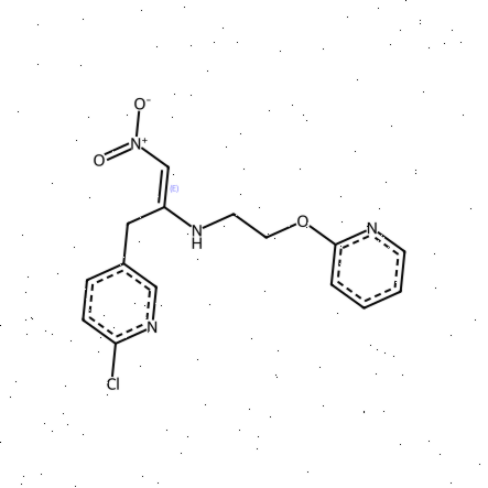 O=[N+]([O-])/C=C(\Cc1ccc(Cl)nc1)NCCOc1ccccn1